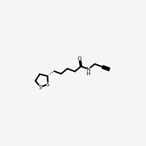 C#CCNC(=O)CCCC[C@H]1CCSS1